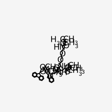 CN(Cc1cc2ccccc2n1CCC(=O)NC(CCC(=O)OC(C)(C)C)C(=O)NCCOCCOCCNC(=O)OC(C)(C)C)N(C)C(=O)OCC1c2ccccc2-c2ccccc21